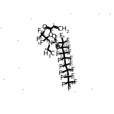 C=CC(=O)OC(F)(N(CC)S(=O)(=O)C(F)(F)C(F)(F)C(F)(F)C(F)(F)C(F)(F)C(F)(F)C(F)(F)C(F)(F)F)C(F)(F)F